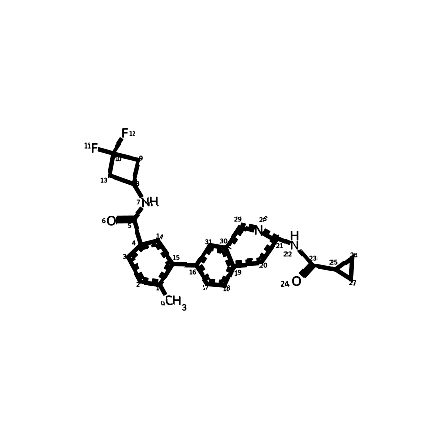 Cc1ccc(C(=O)NC2CC(F)(F)C2)cc1-c1ccc2cc(NC(=O)C3CC3)ncc2c1